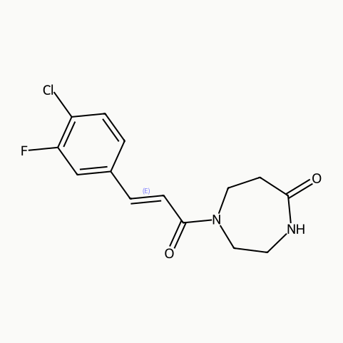 O=C1CCN(C(=O)/C=C/c2ccc(Cl)c(F)c2)CCN1